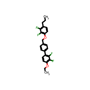 CCCc1ccc(OCc2ccc(-c3ccc(OCC)c(F)c3F)cc2)c(F)c1F